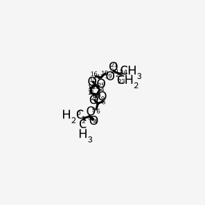 C=C(C)C(=O)OCC1COC2(CCC3(C2)OCC(COC(=O)C(=C)C)O3)O1